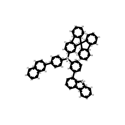 c1cc(-c2cccc3c2sc2ccccc23)cc(N(c2ccc(-c3ccc4ccccc4c3)cc2)c2ccc3c(c2)C2(c4ccccc4-c4ccccc42)c2ccccc2-3)c1